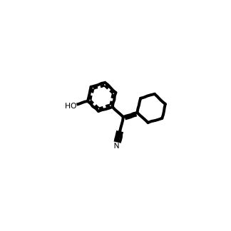 N#CC(=C1CCCCC1)c1cccc(O)c1